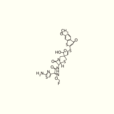 COc1ccc2c(=O)cc(SC=CC3(C(=O)O)CS[C@@H]4C(NC(=O)C(=NOCF)c5csc(N)n5)C(=O)N4C3)sc2c1